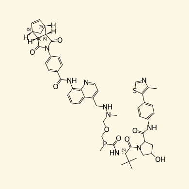 Cc1ncsc1-c1ccc(NC(=O)C2CC(O)CN2C(=O)[C@@H](NC(=O)P(C)COCN(C)NCc2ccnc3c(NC(=O)c4ccc(N5C(=O)[C@@H]6[C@H](C5=O)[C@@H]5C=C[C@H]6C5)cc4)cccc23)C(C)(C)C)cc1